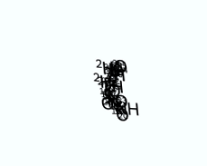 [2H]c1cc(C([2H])([2H])Oc2cccc3c2CN(C2CCC(=O)NC2=O)C3=O)c([2H])cc1C([2H])N1CCOCC1